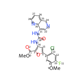 COC(=O)c1oc(-c2cc(OC)c(F)cc2Cl)cc1NC(=O)Nc1cncc2cccnc12